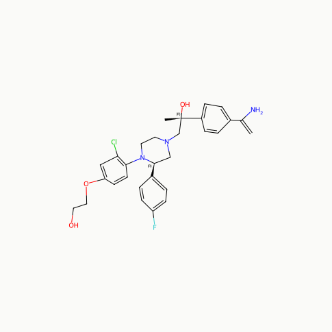 C=C(N)c1ccc([C@@](C)(O)CN2CCN(c3ccc(OCCO)cc3Cl)[C@H](c3ccc(F)cc3)C2)cc1